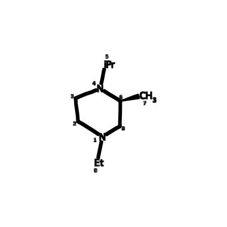 CCN1CCN(C(C)C)[C@@H](C)C1